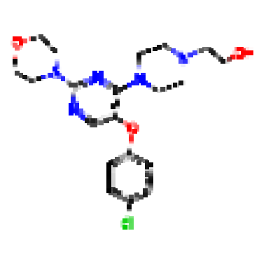 OCCN1CCN(c2nc(N3CCOCC3)ncc2Oc2ccc(Cl)cc2)CC1